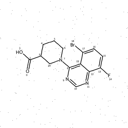 O=C(O)C1CCCN(c2ncnc3c(F)ccc(Br)c23)C1